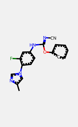 Cc1cn(-c2ccc(N/C(=N/C#N)Oc3ccccc3)cc2F)cn1